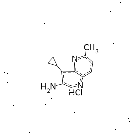 Cc1ccc2ncc(N)c(C3CC3)c2n1.Cl